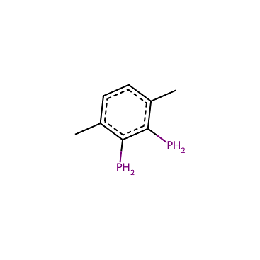 Cc1ccc(C)c(P)c1P